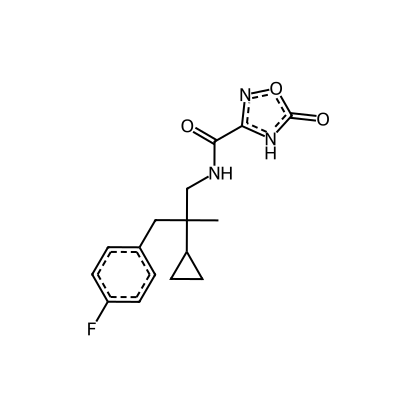 CC(CNC(=O)c1noc(=O)[nH]1)(Cc1ccc(F)cc1)C1CC1